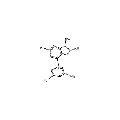 COC1c2cc(C(C)C)cc(-c3cc(C)cc(C)c3)c2CC1C